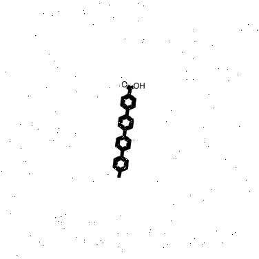 Cc1ccc(-c2ccc(-c3ccc(-c4ccc(C(=O)O)cc4)cc3)cc2)cc1